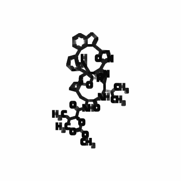 COC(=O)O[C@H](C(=O)NC1Cc2ccc3c(c2)C24c5cccc(c5N[C@H]2O3)-c2cccc3c2C(=CC3)c2cnc(o2)-c2nc(oc24)[C@H](C(C)C)NC1=O)C(C)C